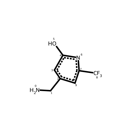 NCc1cc(O)nc(C(F)(F)F)c1